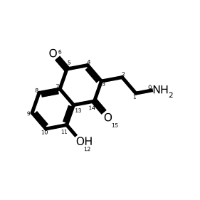 NCCC1=CC(=O)c2cccc(O)c2C1=O